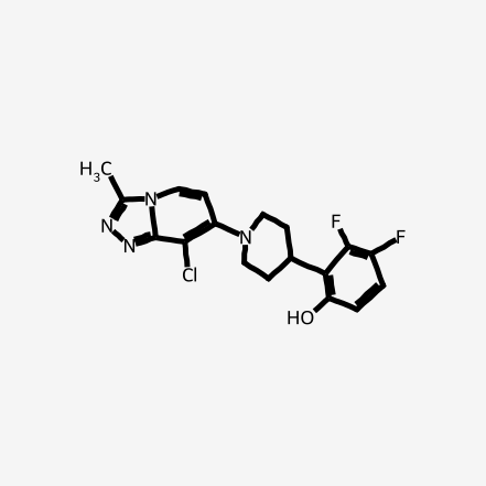 Cc1nnc2c(Cl)c(N3CCC(c4c(O)ccc(F)c4F)CC3)ccn12